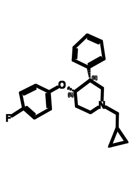 Fc1ccc(O[C@H]2CCN(CC3CC3)C[C@H]2c2ccccc2)cc1